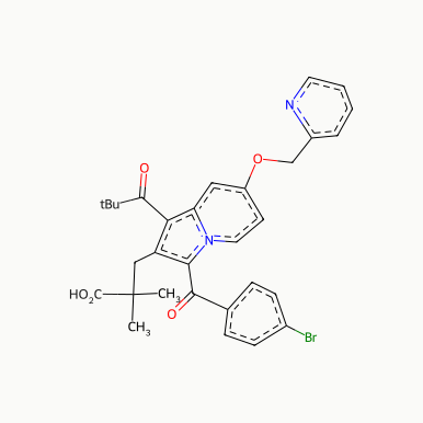 CC(C)(C)C(=O)c1c(CC(C)(C)C(=O)O)c(C(=O)c2ccc(Br)cc2)n2ccc(OCc3ccccn3)cc12